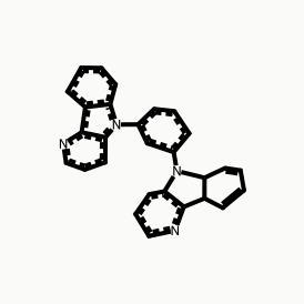 C1=CC2c3ncccc3N(c3cccc(-n4c5ccccc5c5ncccc54)c3)C2C=C1